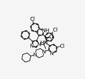 CC(c1ccc(Cl)cc1)n1cnc(-c2ccccc2)c1-c1c(C(=O)Nc2cc(Cl)cnc2N2CCN(C3CCCCC3)CC2)[nH]c2cc(Cl)ccc12